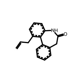 C=CCc1cccc2c1-c1ccccc1CC(=O)N2